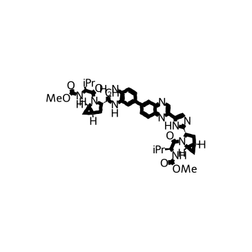 C=C(Nc1cc(-c2ccc3nc(-c4cnc([C@@H]5C[C@H]6C[C@H]6N5C(=O)[C@@H](NC(=O)OC)C(C)C)[nH]4)cnc3c2)ccc1N)[C@@H]1C[C@H]2C[C@H]2N1C(=O)[C@@H](NC(=O)OC)C(C)C